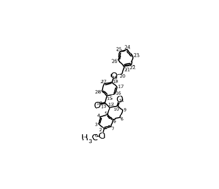 COc1ccc2c(c1)CCC(=O)C2C(=O)c1ccc(OCc2ccccc2)cc1